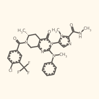 CNC(=O)c1ncc(-n2c(N(C)c3ccccc3)nc3c(c2=O)C[C@@H](C)N(C(=O)c2ccc(Cl)c(C(F)(F)F)c2)C3)n1C